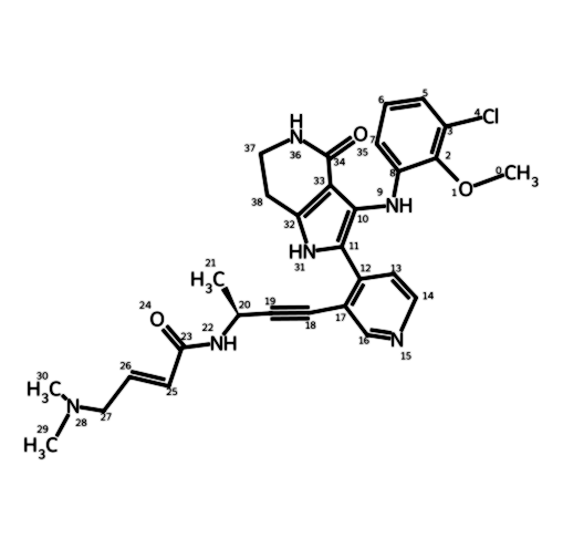 COc1c(Cl)cccc1Nc1c(-c2ccncc2C#C[C@H](C)NC(=O)/C=C/CN(C)C)[nH]c2c1C(=O)NCC2